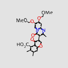 COCOc1cc2nc(C)c(-c3coc4cc(C)c(C)c(C(=O)O)c4c3=O)c(=O)n2cc1OCOC